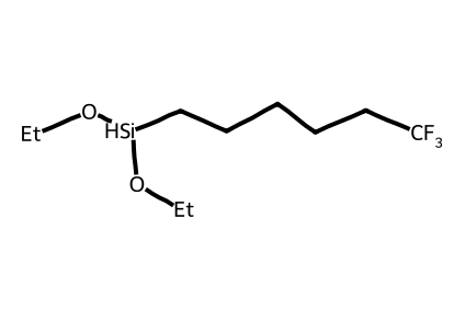 CCO[SiH](CCCCCC(F)(F)F)OCC